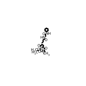 CCOC(=O)[C@@H]1C[C@@H](CCCC(=O)NCC(=O)Nc2ccccc2)C(=O)N1C(=O)OC(C)(C)C